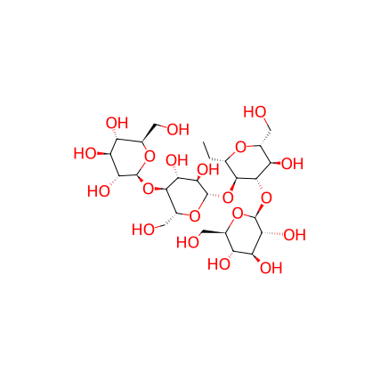 CC[C@@H]1O[C@H](CO)[C@@H](O)[C@H](O[C@@H]2O[C@H](CO)[C@@H](O)[C@H](O)[C@H]2O)[C@H]1O[C@@H]1O[C@H](CO)[C@@H](O[C@@H]2O[C@H](CO)[C@@H](O)[C@H](O)[C@H]2O)[C@H](O)[C@H]1O